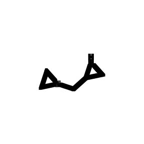 C1NC1CN1CC1